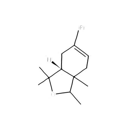 CC(C)C1=CCC2(C)C(C)OC(C)(C)[C@@H]2C1